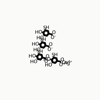 O=C([O-])c1cc(O)c(O)c(S)c1.O=C([O-])c1cc(O)c(O)c(S)c1.O=C([O-])c1cc(O)c(O)c(S)c1.O=C([O-])c1cc(O)c(O)c(S)c1.[Ag].[Ge+4]